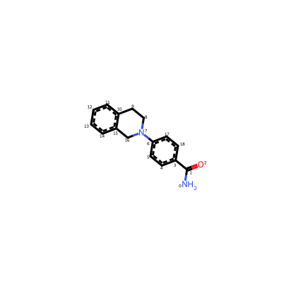 NC(=O)c1ccc(N2CCc3ccccc3C2)cc1